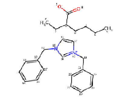 CCCCC(CC)C(=O)[O-].c1ccc(Cn2cc[n+](Cc3ccccc3)c2)cc1